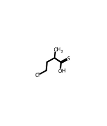 CC(CCCl)C(O)=S